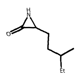 CCC(C)CCC1NC1=O